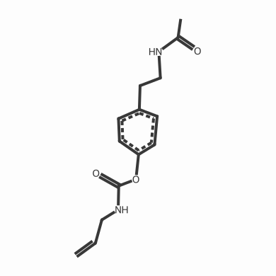 C=CCNC(=O)Oc1ccc(CCNC(C)=O)cc1